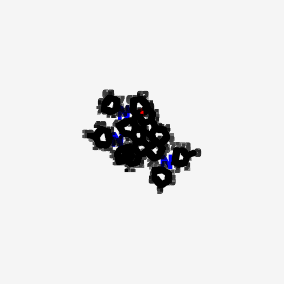 Cc1ccc(N(c2ccccc2)c2ccc3c4c(c5ccccc5c3c2)-c2c(N(c3ccccc3)c3ccc(C)cc3)cc3c(c2C42c4ccccc4-c4ccccc42)c2ccccc2n3-c2ccccc2)cc1